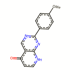 COc1ccc(-c2ncc3c(=O)cc[nH]c3n2)cc1